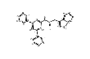 O=C(Cc1noc2ccccc12)Nc1cc(-c2cccnc2)nc(-c2ccccn2)n1